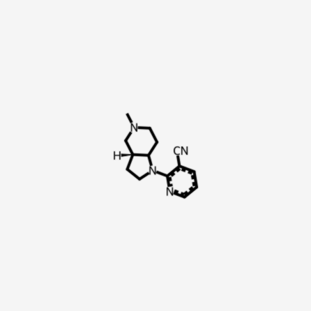 CN1CCC2[C@H](CCN2c2ncccc2C#N)C1